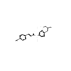 O=C(C=Cc1ccc(C(F)(F)F)cc1)Nc1ccc2c(c1)NCC(CO)C2